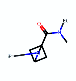 CCN(C)C(=O)C12CC(C1)N(C(C)C)C2